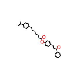 C=C(C)c1ccc(CCCCCCC(=O)Oc2ccc(C=CC(=O)c3ccccc3)cc2)cc1